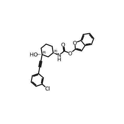 O=C(N[C@@H]1CCC[C@](O)(C#Cc2cccc(Cl)c2)C1)Oc1cc2ccccc2o1